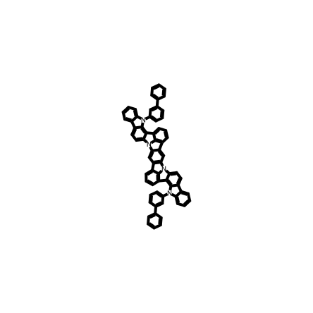 c1ccc(-c2cccc(-n3c4ccccc4c4ccc5c(c6cccc7c8cc9c(cc8n5c76)c5cccc6c7c8c(ccc7n9c56)c5ccccc5n8-c5cccc(-c6ccccc6)c5)c43)c2)cc1